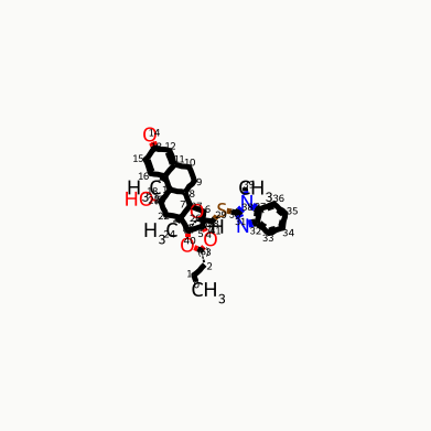 CCC[C@H]1O[C@@H]2CC3C4CCC5=CC(=O)C=CC5(C)C4[C@@H](O)CC3(C)[C@]2(C(=O)CSc2nc3ccccc3n2C)O1